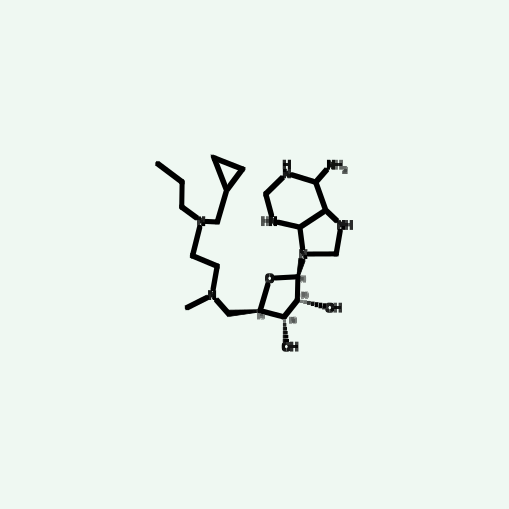 CCCN(CCN(C)C[C@H]1O[C@@H](N2CNC3C(N)NCNC32)[C@H](O)[C@@H]1O)CC1CC1